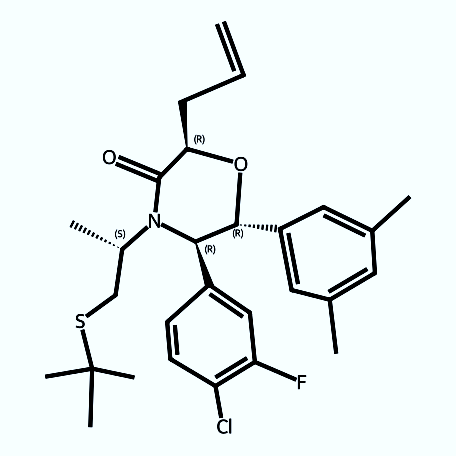 C=CC[C@H]1O[C@H](c2cc(C)cc(C)c2)[C@@H](c2ccc(Cl)c(F)c2)N([C@@H](C)CSC(C)(C)C)C1=O